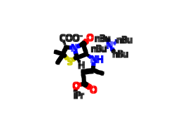 CC(=CC(=O)OC(C)C)N[C@@H]1C(=O)N2[C@@H]1SC(C)(C)[C@@H]2C(=O)[O-].CCCC[N+](CCCC)(CCCC)CCCC